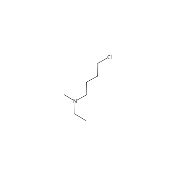 CCN(C)CCCCCl